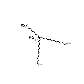 CC(C)CCCCCCCCCCCCC(CCCCCCCCCCCCC(C)C)(CCCCCCC(=O)O)C(=O)O